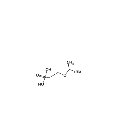 CCCCC(C)OCCP(=O)(O)O